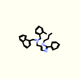 CCCCn1c(CN(Cc2ccccc2C)Cc2cccc3ccccc23)cnc1-c1ccccc1